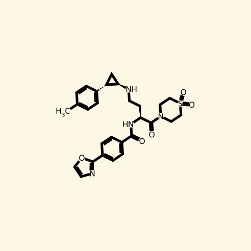 Cc1ccc([C@@H]2C[C@H]2NCC[C@H](NC(=O)c2ccc(-c3ncco3)cc2)C(=O)N2CCS(=O)(=O)CC2)cc1